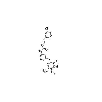 CC(C)OC(Cc1cccc(NC(=O)OCCc2cccc(Cl)c2)c1)C(=O)O